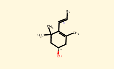 CC/C=C/C1=C(C)C[C@@H](O)CC1(C)C